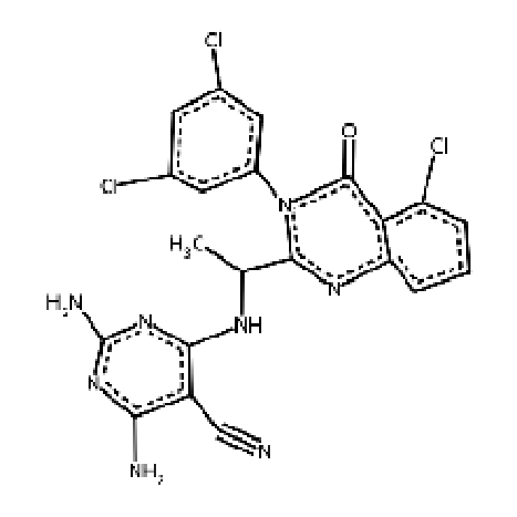 CC(Nc1nc(N)nc(N)c1C#N)c1nc2cccc(Cl)c2c(=O)n1-c1cc(Cl)cc(Cl)c1